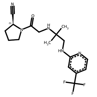 CC(C)(CNc1cc(C(F)(F)F)ccn1)NCC(=O)N1CCC[C@H]1C#N